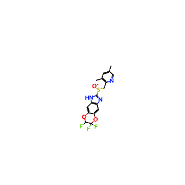 Cc1cnc(C[S+]([O-])c2nc3cc4c(cc3[nH]2)OC(F)C(F)(F)O4)c(C)c1